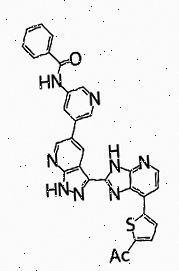 CC(=O)c1ccc(-c2ccnc3[nH]c(-c4n[nH]c5ncc(-c6cncc(NC(=O)c7ccccc7)c6)cc45)nc23)s1